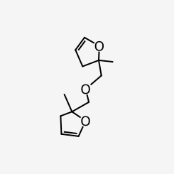 CC1(COCC2(C)CC=CO2)CC=CO1